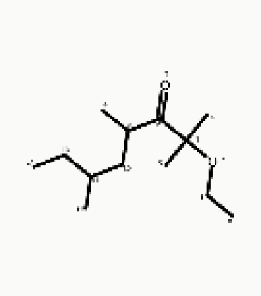 CCOC(C)(C)C(=O)C(C)CC(C)CC